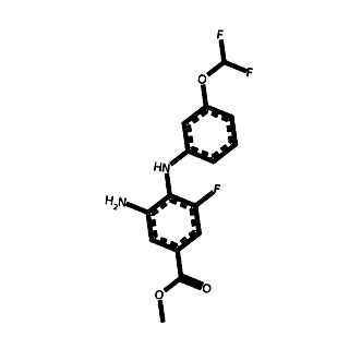 COC(=O)c1cc(N)c(Nc2cccc(OC(F)F)c2)c(F)c1